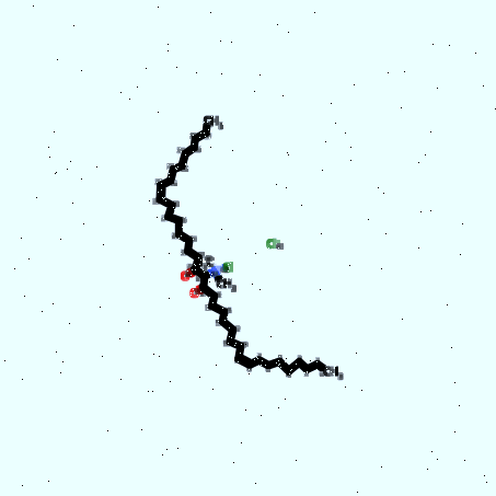 CCCCCCCC/C=C\CCCCCCCC(=O)C(C(=O)CCCCCCC/C=C\CCCCCCCC)[N+](C)(C)Cl.[Cl-]